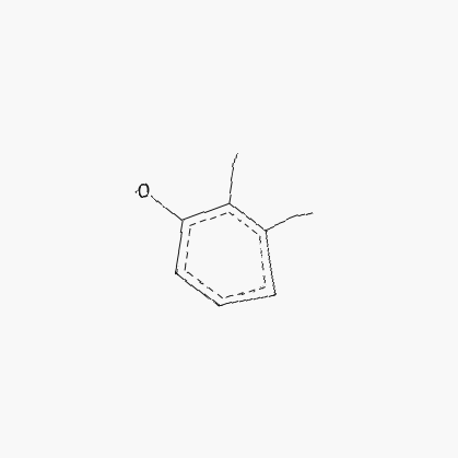 Cc1cccc([O])c1C